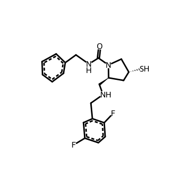 O=C(NCc1ccccc1)N1C[C@H](S)C[C@H]1CNCc1cc(F)ccc1F